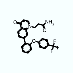 NC(=O)CCn1ccc(=O)c2ccc(-c3ccccc3Oc3ccc(C(F)(F)F)cc3)cc21